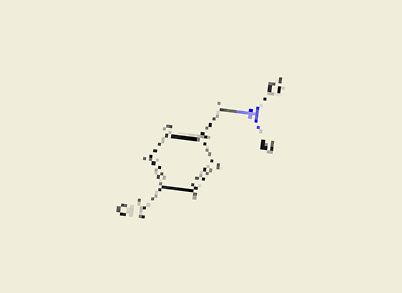 CCN(CC)Cc1ccc(C=O)cc1